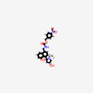 CN1C[C@H](O)C[C@]1(O)c1ccc(CNC(=O)OCc2ccc([N+](=O)[O-])cc2)c2ccccc12